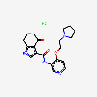 Cl.O=C(Nc1cnccc1OCCN1CCCC1)c1c[nH]c2c1C(=O)CCC2